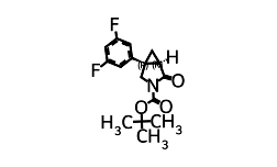 CC(C)(C)OC(=O)N1C[C@]2(c3cc(F)cc(F)c3)C[C@H]2C1=O